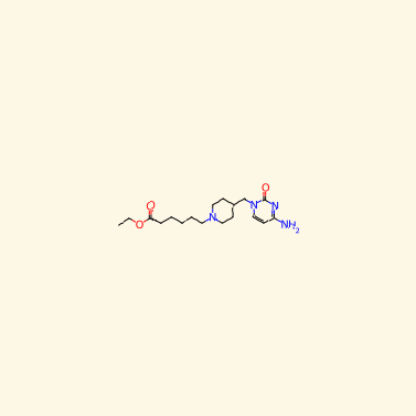 CCOC(=O)CCCCCN1CCC(Cn2ccc(N)nc2=O)CC1